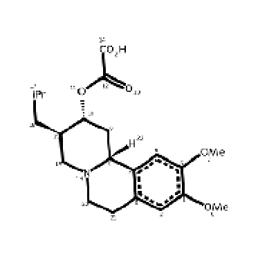 COc1cc2c(cc1OC)[C@H]1C[C@@H](OC(=O)C(=O)O)[C@H](CC(C)C)CN1CC2